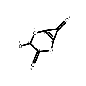 O=C1Oc2c(c2=O)OC1O